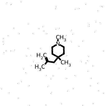 C=C(C)CC1(C)CCN(C)CC1